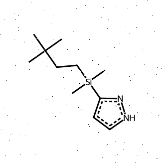 CC(C)(C)CC[Si](C)(C)c1cc[nH]n1